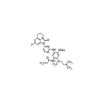 C=CC(=O)Nc1cc(Nc2nccc(-n3c(=O)n4c5c(cc(F)cc53)CCC4)n2)c(OC)cc1N(C)CCN(C)C